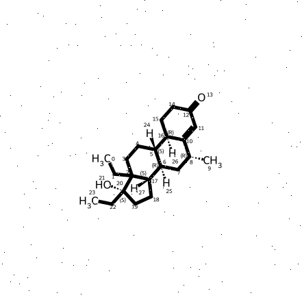 CCC12CC[C@H]3[C@@H](C[C@@H](C)C4=CC(=O)CC[C@@H]43)[C@@H]1CC[C@@]2(O)CC